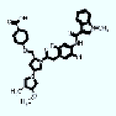 CO[C@H]1CN([C@H]2C[C@@H](CO[C@H]3CC[C@H](C(=O)O)CC3)N(C(=O)Cc3cc(Cl)c(NC(=O)c4cn(C)c5ccccc45)cc3F)C2)C[C@H]1C